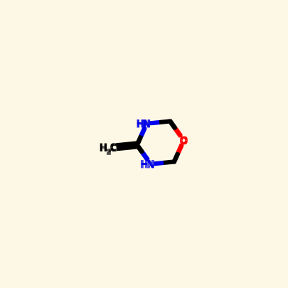 C=C1NCOCN1